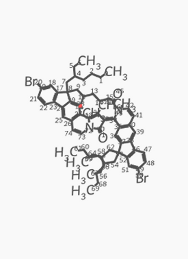 CCCCC(CC)CC1(CC(CC)CCCC)c2cc(Br)ccc2-c2cc3c(cc21)C1=C(C)/C(=C2/c4cc5c(cc4C=CN2C=O)-c2ccc(Br)cc2C5(CC(CC)CCCC)CC(CC)CCCC)C(=O)N1C=C3